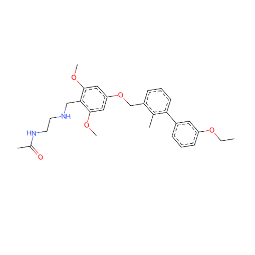 CCOc1cccc(-c2cccc(COc3cc(OC)c(CNCCNC(C)=O)c(OC)c3)c2C)c1